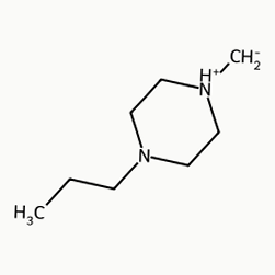 [CH2-][NH+]1CCN(CCC)CC1